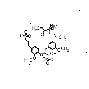 C=CC(=O)OCCCC.COc1cc(CCCS(=O)(=O)[O-])ccc1OC(Cc1cccc(OC)c1O)CS(=O)(=O)[O-].[Na+].[Na+]